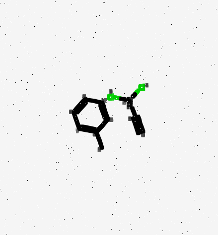 C#C[SiH](Cl)Cl.Cc1ccccc1